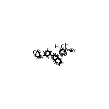 CC(=CNc1nc(-c2ccnc(NC3CCOCC3)c2)cc2cnccc12)C(=O)NC(C)C